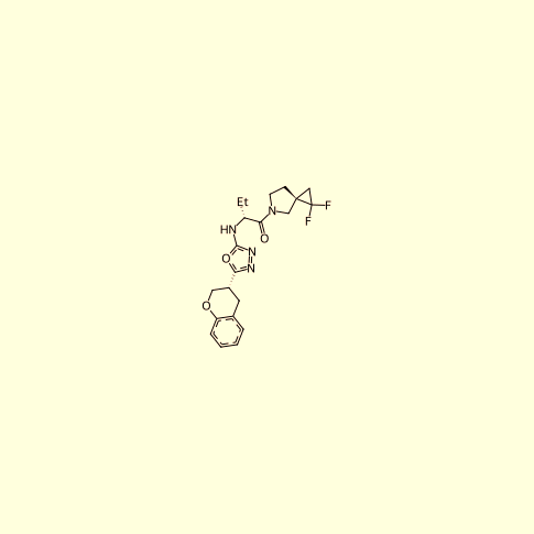 CC[C@@H](Nc1nnc([C@H]2COc3ccccc3C2)o1)C(=O)N1CC[C@@]2(C1)CC2(F)F